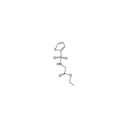 CCOC(=O)CNS(=O)(=O)c1cccs1